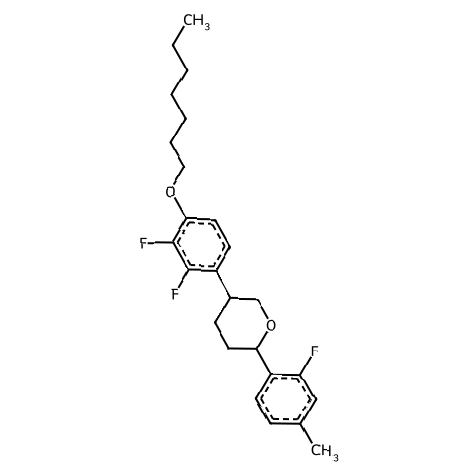 CCCCCCCOc1ccc(C2CCC(c3ccc(C)cc3F)OC2)c(F)c1F